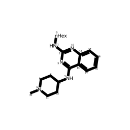 CCCCCCNc1nc(NC2CCN(C)CC2)c2ccccc2n1